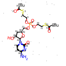 CC(C)(C)C(=O)SCCOP(=O)(OCCSC(=O)C(C)(C)C)OC[C@@H]1C[C@@H](O)C(n2ccc(N)nc2=O)O1